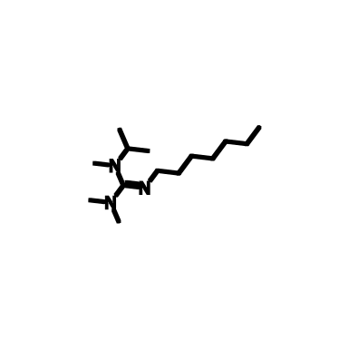 CCCCCCCN=C(N(C)C)N(C)C(C)C